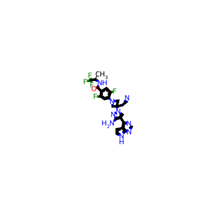 C[C@H](NC(=O)c1cc(F)c(N2CC(CC#N)(n3cc(-c4ncnc5[nH]ccc45)c(N)n3)C2)cc1F)C(F)(F)F